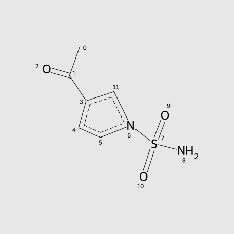 CC(=O)c1ccn(S(N)(=O)=O)c1